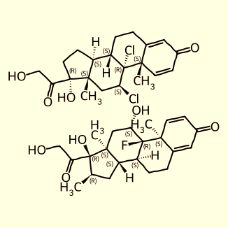 C[C@@H]1C[C@H]2[C@@H]3CCC4=CC(=O)C=C[C@]4(C)[C@@]3(F)[C@@H](O)C[C@]2(C)[C@@]1(O)C(=O)CO.C[C@]12C=CC(=O)C=C1CC[C@H]1[C@@H]3CC[C@](O)(C(=O)CO)[C@@]3(C)C[C@H](Cl)[C@@]12Cl